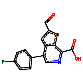 O=Cc1cc2c(-c3ccc(F)cc3)cnc(C(=O)O)c2s1